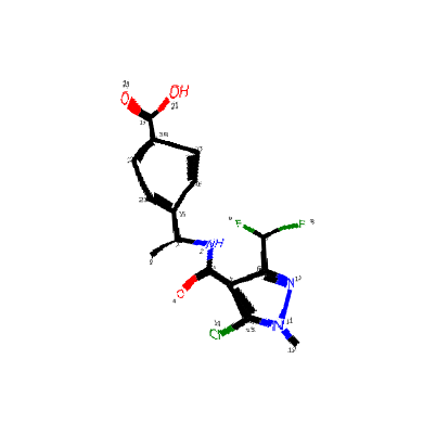 C[C@H](NC(=O)c1c(C(F)F)nn(C)c1Cl)c1ccc(C(=O)O)cc1